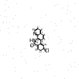 [O-][S+]1Nc2c(ccc3cccnc23)C2=CC(Cl)CC=C21